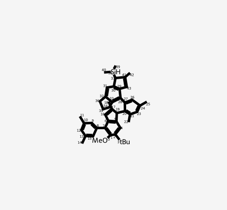 COc1c(C(C)(C)C)cc2c(c1-c1cc(C)cc(C)c1)C=C(C)C2c1c(C)cc(C)cc1-c1c2c(cc3c1CCC3)C([SiH](C)C)C(C)=C2